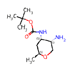 C[C@H]1C[C@H](NC(=O)OC(C)(C)C)[C@H](N)CO1